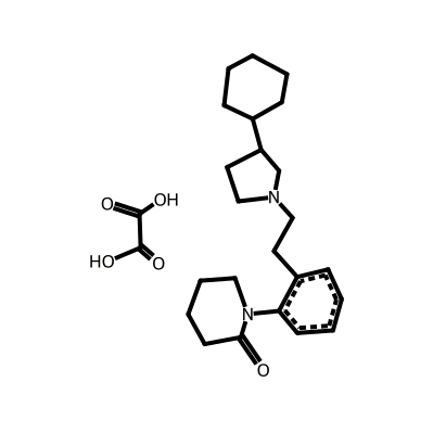 O=C(O)C(=O)O.O=C1CCCCN1c1ccccc1CCN1CCC(C2CCCCC2)C1